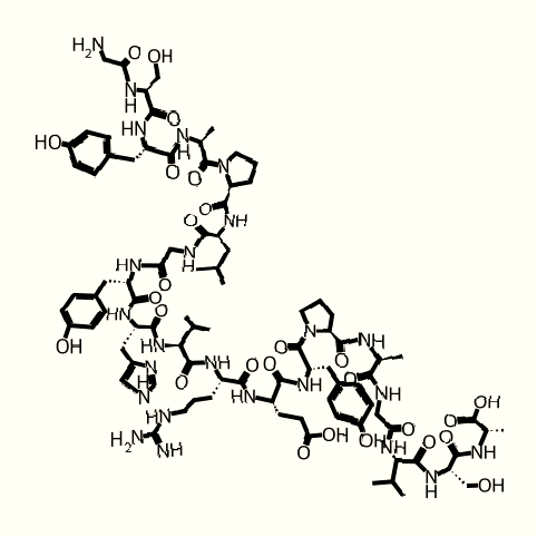 CC(C)C[C@H](NC(=O)[C@@H]1CCCN1C(=O)[C@H](C)NC(=O)[C@H](Cc1ccc(O)cc1)NC(=O)[C@H](CO)NC(=O)CN)C(=O)NCC(=O)N[C@@H](Cc1ccc(O)cc1)C(=O)N[C@@H](Cc1c[nH]cn1)C(=O)N[C@H](C(=O)N[C@@H](CCCNC(=N)N)C(=O)N[C@@H](CCC(=O)O)C(=O)N[C@@H](Cc1ccc(O)cc1)C(=O)N1CCC[C@H]1C(=O)N[C@@H](C)C(=O)NCC(=O)N[C@H](C(=O)N[C@@H](CO)C(=O)N[C@@H](C)C(=O)O)C(C)C)C(C)C